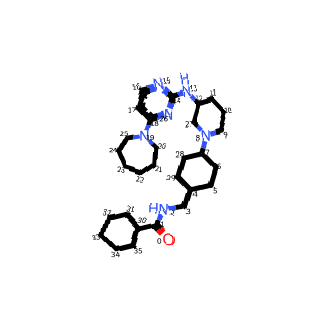 O=C(NCC1CCC(N2CCCC(Nc3nccc(N4CCCCCC4)n3)C2)CC1)C1CCCCC1